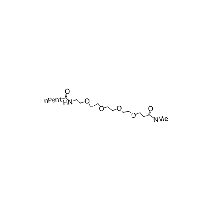 CCCCCC(=O)NCCOCCOCCOCCOCCC(=O)NC